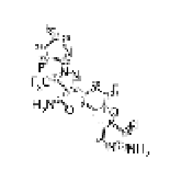 NC(=O)c1c(-c2ccc(Oc3ccnc(N)c3Cl)c(F)c2)nn(-c2ncc(F)cc2F)c1C(F)(F)F